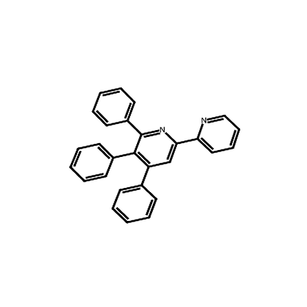 c1ccc(-c2cc(-c3ccccn3)nc(-c3ccccc3)c2-c2ccccc2)cc1